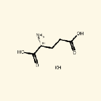 N[C@H](CCC(=O)O)C(=O)O.[KH]